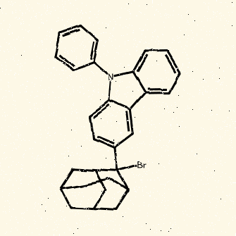 BrC1(c2ccc3c(c2)c2ccccc2n3-c2ccccc2)C2CC3CC(C2)CC1C3